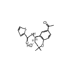 CC(=O)c1ccc2c(c1)[C@H](NC(=O)c1cccs1)[C@@H](O)C(C)(C)O2